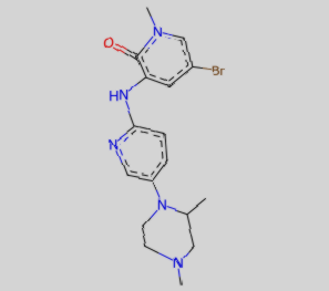 CC1CN(C)CCN1c1ccc(Nc2cc(Br)cn(C)c2=O)nc1